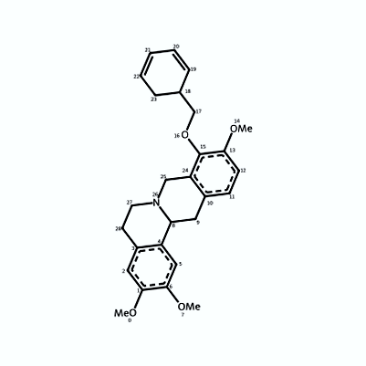 COc1cc2c(cc1OC)C1Cc3ccc(OC)c(OCC4C=CC=CC4)c3CN1CC2